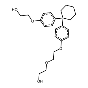 OCCOCCOc1ccc(C2(c3ccc(OCCO)cc3)CCCCC2)cc1